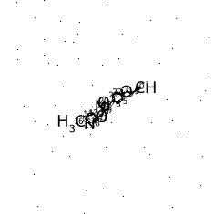 C#CCOc1ccc([C@H]2CC(Oc3ccc(C)nc3)=NO2)cc1